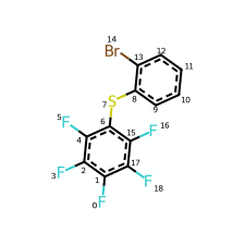 Fc1c(F)c(F)c(Sc2ccccc2Br)c(F)c1F